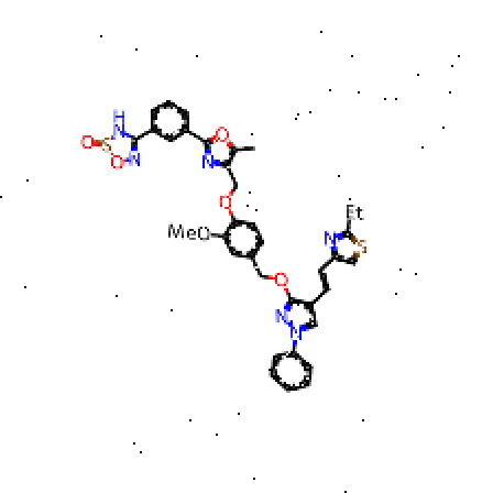 CCc1nc(/C=C/c2cn(-c3ccccc3)nc2OCc2ccc(OCc3nc(-c4cccc(C5=NOS(=O)N5)c4)oc3C)c(OC)c2)cs1